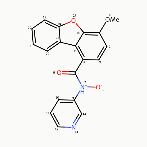 COc1ccc(C(=O)[NH+]([O-])c2cccnc2)c2c1oc1ccccc12